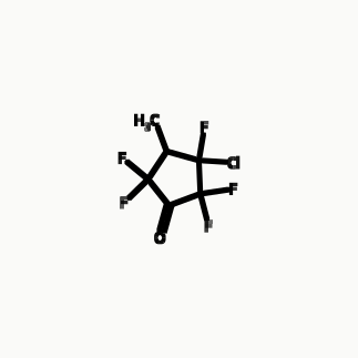 CC1C(F)(F)C(=O)C(F)(F)C1(F)Cl